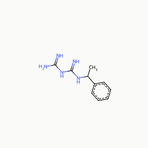 CC(NC(=N)NC(=N)N)c1ccccc1